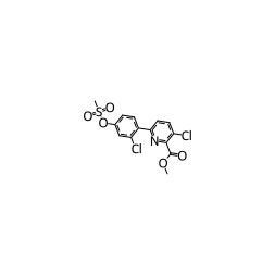 COC(=O)c1nc(-c2ccc(OS(C)(=O)=O)cc2Cl)ccc1Cl